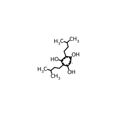 CC(C)CCc1c(O)[c]c(O)c(CCC(C)C)c1O